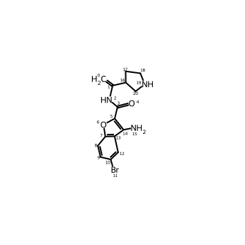 C=C(NC(=O)c1oc2ccc(Br)cc2c1N)C1CCNC1